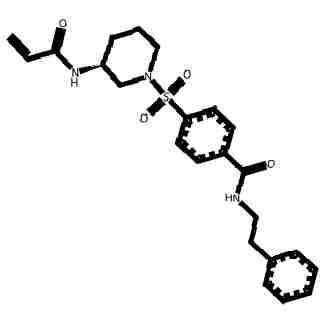 C=CC(=O)N[C@H]1CCCN(S(=O)(=O)c2ccc(C(=O)NCCc3ccccc3)cc2)C1